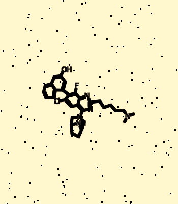 CN(C)CCCCCc1nc(N2CC3CCC(C2)N3)c2cc(Cl)c(-c3cc(O)cc4ccccc34)c(F)c2n1